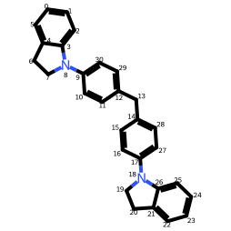 c1ccc2c(c1)CCN2c1ccc(Cc2ccc(N3CCc4ccccc43)cc2)cc1